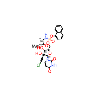 COC(=O)[C@H](C)NP(=O)(OC[C@H]1O[C@@H](n2ccc(=O)[nH]c2=O)[C@@](O)(C#CCl)[C@@H]1O)Oc1cccc2ccccc12